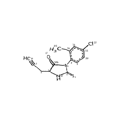 C#CCC1NC(=S)N(c2ccc(Cl)cc2C)C1=O